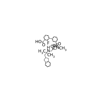 CN(C[C@H](O)CNC(C)(C)CC1Cc2ccccc2C1)S(=O)(=O)c1cccc(-c2cccc(C(=O)O)c2F)c1